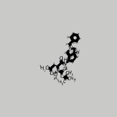 CC(C)C[C@@H](C(=O)NC1CC[C@H]2CN(Cc3ccccc3)CC12)N(C)C(=O)OC(C)(C)C